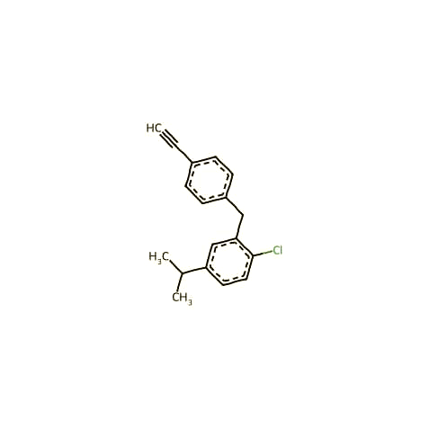 C#Cc1ccc(Cc2cc(C(C)C)ccc2Cl)cc1